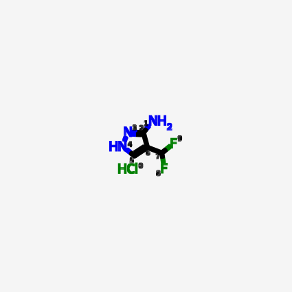 Cl.Nc1n[nH]cc1C(F)F